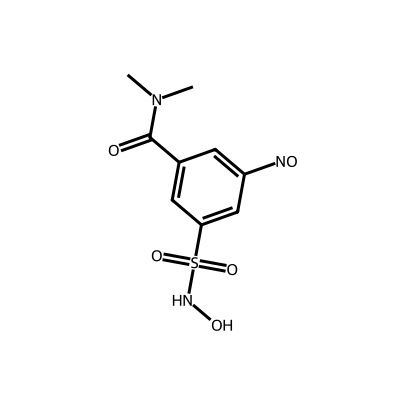 CN(C)C(=O)c1cc(N=O)cc(S(=O)(=O)NO)c1